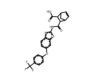 O=C(O)C1C2C=CC(C2)C1C(=O)Nc1nc2ccc(Oc3ccc(C(F)(F)F)cc3)cc2s1